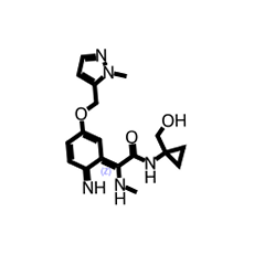 CN/C(C(=O)NC1(CO)CC1)=C1/C=C(OCc2ccnn2C)C=CC1=N